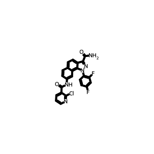 NC(=O)c1nn(-c2ccc(F)cc2F)c2c1ccc1ccc(NC(=O)c3cccnc3Cl)cc12